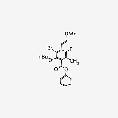 CCCCOc1c(Br)c(C=COC)c(F)c(C)c1C(=O)Oc1ccccc1